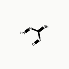 N=NC(=N)N=O